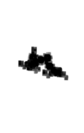 Cc1nc(C(N)=O)nn1-c1ccc(Cc2ccccc2-c2ccc(C(=O)C3CNCCN3C(=O)OC(C)(C)C)cc2)cc1